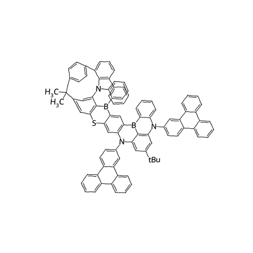 CC(C)(C)c1cc2c3c(c1)N(c1ccc4c5ccccc5c5ccccc5c4c1)c1cc4c(cc1B3c1ccccc1N2c1ccc2c3ccccc3c3ccccc3c2c1)B1c2ccccc2N2c3cc(cc(c31)S4)C(C)(C)c1ccc(cc1)-c1cccc(-c3ccccc3)c12